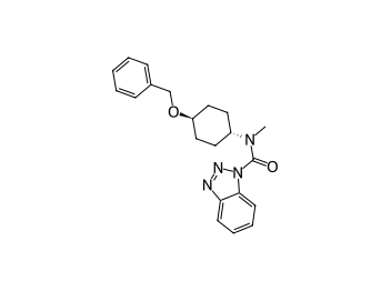 CN(C(=O)n1nnc2ccccc21)[C@H]1CC[C@H](OCc2ccccc2)CC1